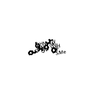 CSC1CC[C@@H](C)C(Nc2ncc(C)c(-c3c[nH]c4c(NC(=O)C(COCc5ccccc5)N5CCN(C)CC5)nccc34)n2)=C1F